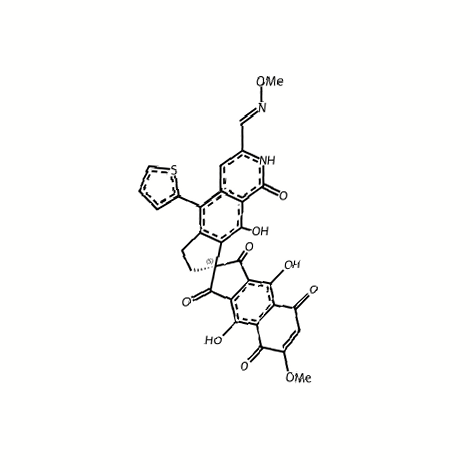 CON=Cc1cc2c(-c3cccs3)c3c(c(O)c2c(=O)[nH]1)[C@@]1(CC3)C(=O)c2c(O)c3c(c(O)c2C1=O)C(=O)C(OC)=CC3=O